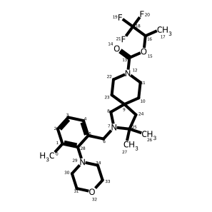 Cc1cccc(CN2CC3(CCN(C(=O)OC(C)C(F)(F)F)CC3)CC2(C)C)c1N1CCOCC1